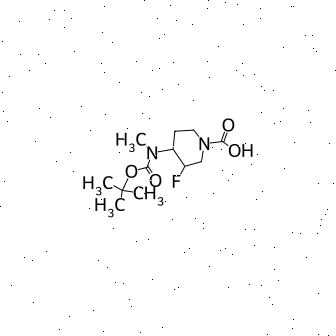 CN(C(=O)OC(C)(C)C)C1CCN(C(=O)O)CC1F